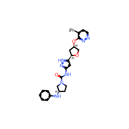 CC(C)c1ccnnc1O[C@H]1CO[C@@H](c2cc(NC(=O)N3CC[C@@H](Nc4ccccc4)C3)n[nH]2)C1